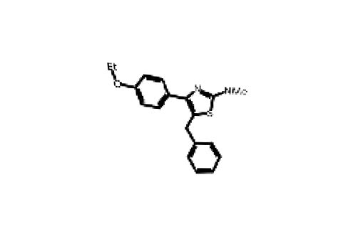 CCOc1ccc(-c2nc(NC)sc2Cc2ccccc2)cc1